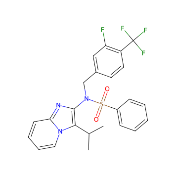 CC(C)c1c(N(Cc2ccc(C(F)(F)F)c(F)c2)S(=O)(=O)c2ccccc2)nc2ccccn12